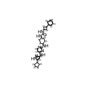 O=C(NC1CCC(Nc2nccc(Nc3cc(C4CCCC4)[nH]n3)n2)CC1)NC1CC(c2ccccc2)C1